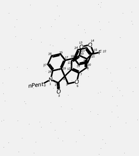 CCCCCN1C(=O)C2(COc3cc4c(cc32)OOC4)c2c(-c3ccc(F)cc3)cccc21